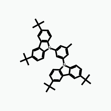 Cc1cc(-n2c3ccc(C(C)(C)C)cc3c3cc(C(C)(C)C)ccc32)cc(-n2c3ccc(C(C)(C)C)cc3c3cc(C(C)(C)C)ccc32)c1